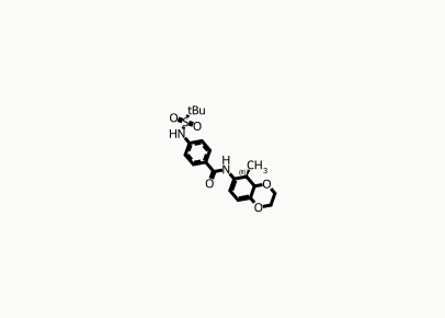 C[C@@H]1C(NC(=O)c2ccc(NS(=O)(=O)C(C)(C)C)cc2)=CC=C2OCCOC21